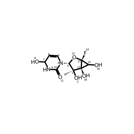 C[C@]1(O)[C@H](N2C=CC(O)NC2=O)O[C@]2(F)C(O)[C@]12O